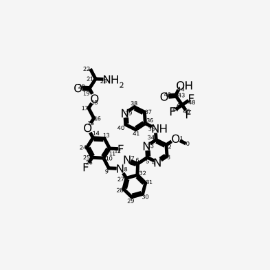 COc1cnc(-c2nn(Cc3c(F)cc(OCCOC(=O)C(C)N)cc3F)c3ccccc23)nc1Nc1ccncc1.O=C(O)C(F)(F)F